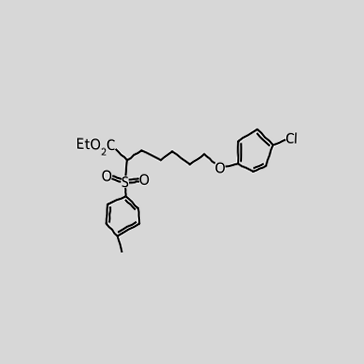 CCOC(=O)C(CCCCCOc1ccc(Cl)cc1)S(=O)(=O)c1ccc(C)cc1